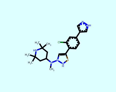 CN(C1CC(C)(C)NC(C)(C)C1)N1C=C(c2ccc(-c3cn[nH]c3)cc2Cl)SN1